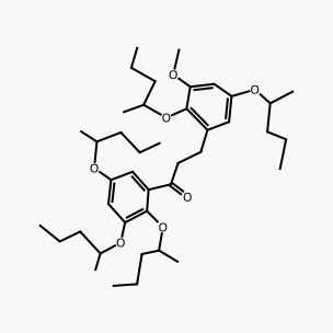 CCCC(C)Oc1cc(CCC(=O)c2cc(OC(C)CCC)cc(OC(C)CCC)c2OC(C)CCC)c(OC(C)CCC)c(OC)c1